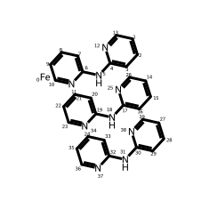 [Fe].c1ccc(Nc2ccccn2)nc1.c1ccc(Nc2ccccn2)nc1.c1ccc(Nc2ccccn2)nc1